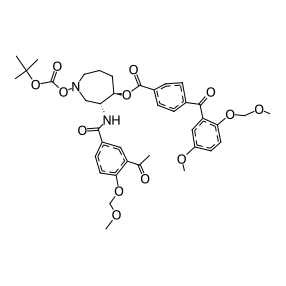 COCOc1ccc(C(=O)N[C@@H]2CN(OC(=O)OC(C)(C)C)CCC[C@H]2OC(=O)c2ccc(C(=O)c3cc(OC)ccc3OCOC)cc2)cc1C(C)=O